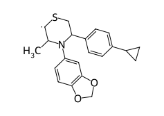 CC1[CH]SCC(c2ccc(C3CC3)cc2)N1c1ccc2c(c1)OCO2